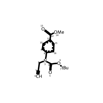 C#CCN(C(=O)OC(C)(C)C)c1ccc(C(=O)OC)cc1